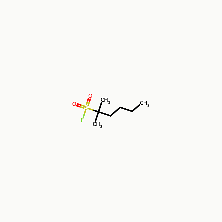 CCCCC(C)(C)S(=O)(=O)F